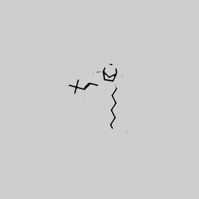 CCCCC(C)(C)C=CC[C@H]1[C@H](CCCCCCC(=O)O)[C@H]2C[C@H]1OO2